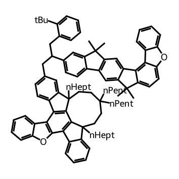 CCCCCCCC12CCC(CCCCC)(CCCCC)CCC3(CCCCCCC)c4cc(CC(Cc5ccccc5C(C)(C)C)c5ccc6c(c5)C(C)(C)c5cc7c(cc5-6)C(C)(C)c5ccc6oc8ccccc8c6c5-7)ccc4-c4c3c1c(c1oc3ccccc3c41)-c1ccccc12